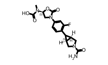 CN(C(=O)O)[C@@H]1CN(c2ccc(C3[C@H]4CN(C(N)=O)C[C@@H]34)c(F)c2)C(=O)O1